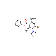 COc1cc(Br)c(N2CCCC2)c(C)c1C(=O)Oc1ccccc1